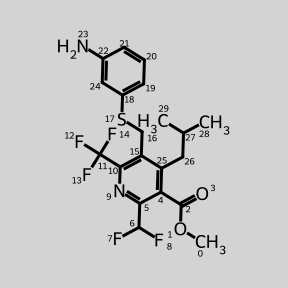 COC(=O)c1c(C(F)F)nc(C(F)(F)F)c(CSc2cccc(N)c2)c1CC(C)C